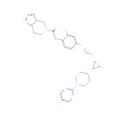 O=C(Cc1ccc(OCC[C@@H]2C[C@@H]2C2CCN(c3ncc(Cl)cn3)CC2)cc1F)N1CCc2[nH]ncc2C1